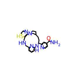 NC(=O)c1ccnc(C2CCC3CCN(C3)C3=C(CNCc4cccc(n4)N2)[SH]=CC=N3)c1